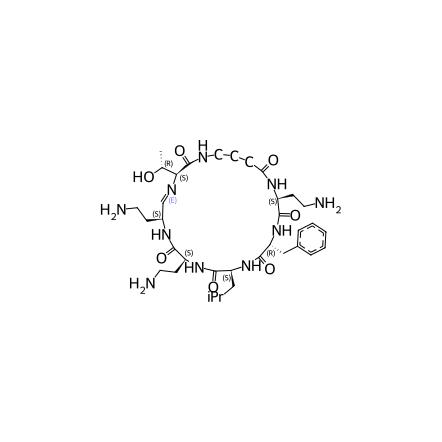 CC(C)C[C@@H]1NC(=O)[C@@H](Cc2ccccc2)NC(=O)[C@H](CCN)NC(=O)CCCNC(=O)[C@H]([C@@H](C)O)/N=C/[C@H](CCN)NC(=O)[C@H](CCN)NC1=O